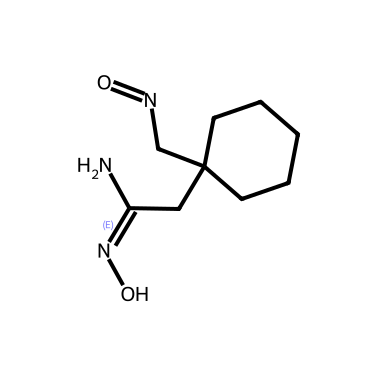 N/C(CC1(CN=O)CCCCC1)=N/O